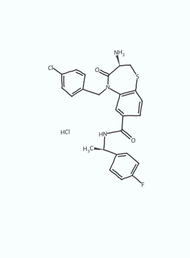 C[C@@H](NC(=O)c1ccc2c(c1)N(Cc1ccc(Cl)cc1)C(=O)[C@@H](N)CS2)c1ccc(F)cc1.Cl